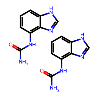 NC(=O)Nc1cccc2[nH]cnc12.NC(=O)Nc1cccc2[nH]cnc12